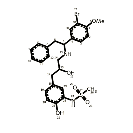 COc1ccc(C(Cc2ccccc2)NCC(O)Cc2ccc(O)c(NS(C)(=O)=O)c2)cc1Br